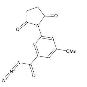 COc1cc(C(=O)N=[N+]=[N-])nc(N2C(=O)CCC2=O)n1